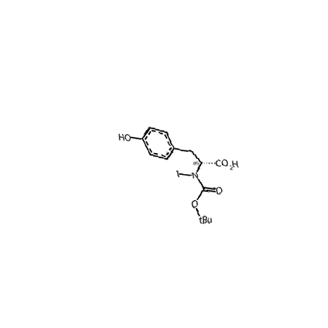 CC(C)(C)OC(=O)N(I)[C@H](Cc1ccc(O)cc1)C(=O)O